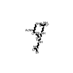 CC(=O)NCCCC[C@H](NC(C)=O)C(=O)NCCC(=O)N(CC(=O)NCCCC[C@@H](C(N)=O)C1SS1)CC(=O)NCCCC[C@@H](C(N)=O)C1SS1